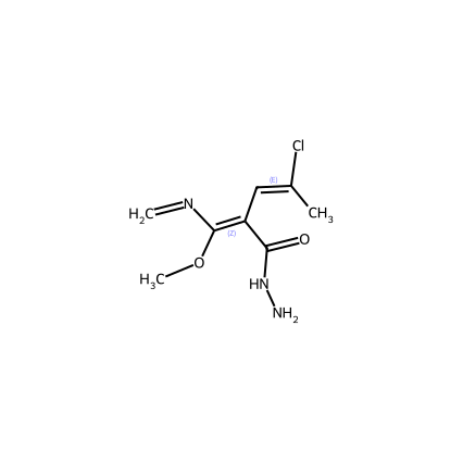 C=N/C(OC)=C(\C=C(/C)Cl)C(=O)NN